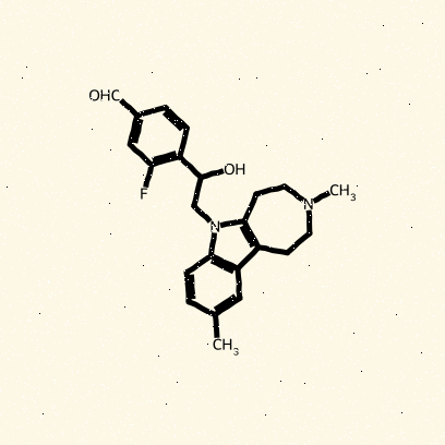 Cc1ccc2c(c1)c1c(n2CC(O)c2ccc(C=O)cc2F)CCN(C)CC1